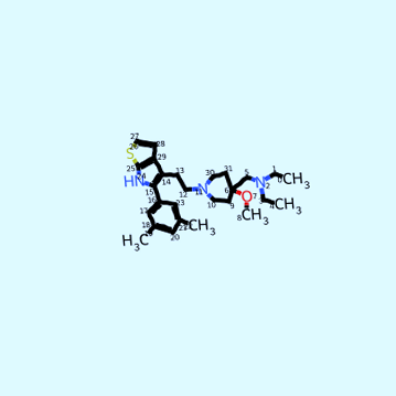 CCN(CC)CC1(OC)CCN(CCc2c(-c3cc(C)cc(C)c3)[nH]c3sccc23)CC1